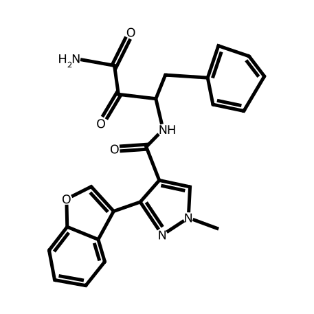 Cn1cc(C(=O)NC(Cc2ccccc2)C(=O)C(N)=O)c(-c2coc3ccccc23)n1